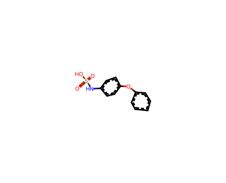 O=S(=O)(O)Nc1ccc(Oc2ccccc2)cc1